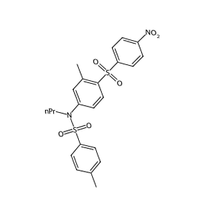 CCCN(c1ccc(S(=O)(=O)c2ccc([N+](=O)[O-])cc2)c(C)c1)S(=O)(=O)c1ccc(C)cc1